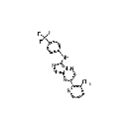 Cc1cccnc1-c1cnn2c(Nc3ccc(C(F)(F)F)cc3)nnc2n1